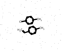 C=Cc1ccc(C)cc1.Cc1ccc(Cl)cc1